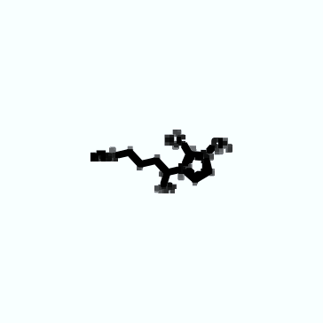 CCCCCCCCCCCCC(CCC)[n+]1ccn(C)c1C